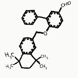 CC1(C)CCC(C)(C)c2cc(COc3ccc(C=O)cc3-c3ccccc3)ccc21